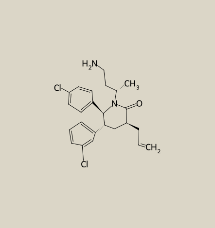 C=CC[C@H]1C[C@H](c2cccc(Cl)c2)[C@@H](c2ccc(Cl)cc2)N([C@@H](C)CCN)C1=O